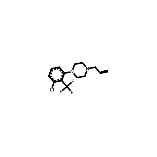 C=CCN1CCN(c2cccc(Cl)c2C(F)(F)F)CC1